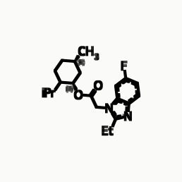 CCc1nc2ccc(F)cc2n1CC(=O)O[C@@H]1C[C@H](C)CCC1C(C)C